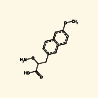 COc1ccc2cc(CC(ON)C(=O)O)ccc2c1